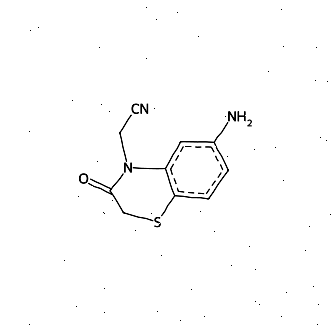 N#CCN1C(=O)CSc2ccc(N)cc21